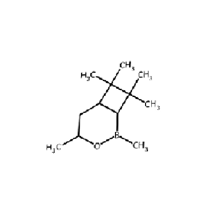 CB1OC(C)CC2C1C(C)(C)C2(C)C